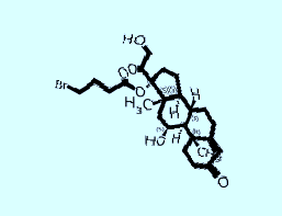 C[C@]12CCC(=O)C=C1CC[C@@H]1[C@@H]2[C@@H](O)C[C@@]2(C)[C@H]1CC[C@]2(OC(=O)CCCBr)C(=O)CO